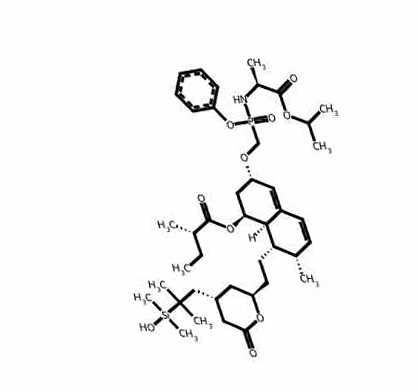 CC[C@H](C)C(=O)O[C@H]1C[C@H](OCP(=O)(N[C@@H](C)C(=O)OC(C)C)Oc2ccccc2)C=C2C=C[C@H](C)[C@H](CC[C@@H]3C[C@@H](CC(C)(C)[Si](C)(C)O)CC(=O)O3)[C@H]21